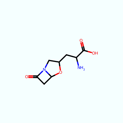 NC(CC1CN2C(=O)CC2O1)C(=O)O